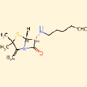 C=C1N2C(=O)[C@@H](NCCCCC=O)[C@H]2SC1(C)C